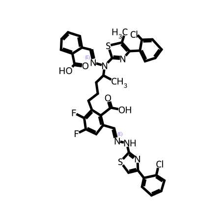 Cc1sc(N(/N=C/c2ccccc2C(=O)O)C(C)CCCc2c(F)c(F)cc(/C=N/Nc3nc(-c4ccccc4Cl)cs3)c2C(=O)O)nc1-c1ccccc1Cl